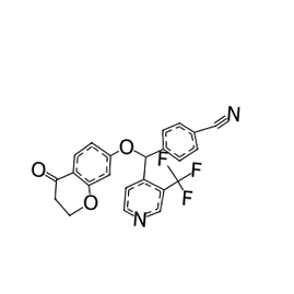 N#Cc1ccc(C(Oc2ccc3c(c2)OCCC3=O)c2ccncc2C(F)(F)F)cc1